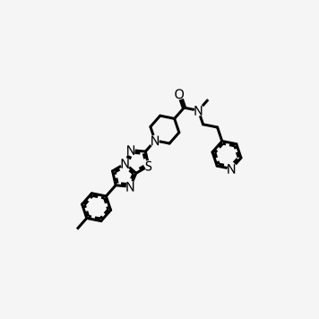 Cc1ccc(-c2cn3nc(N4CCC(C(=O)N(C)CCc5ccncc5)CC4)sc3n2)cc1